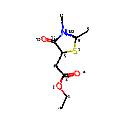 CCOC(=O)CC1SC(C)N(C)C1=O